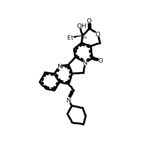 CC[C@@]1(O)C(=O)OCc2c1cc1n(c2=O)Cc2c-1nc1ccccc1c2C=NC1CCCCC1